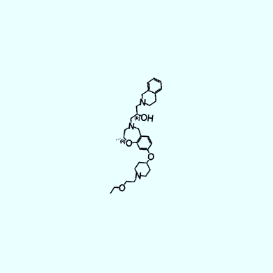 CCOCCN1CCC(Oc2ccc3c(c2)O[C@H](C)CN(C[C@H](O)CN2CCc4ccccc4C2)C3)CC1